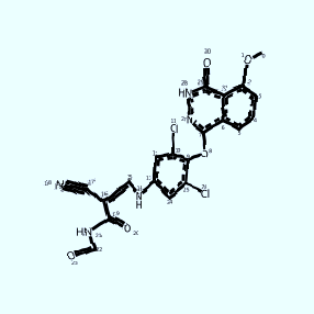 COc1cccc2c(Oc3c(Cl)cc(N/C=C(/C#N)C(=O)NC=O)cc3Cl)n[nH]c(=O)c12